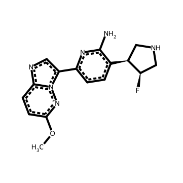 COc1ccc2ncc(-c3ccc([C@H]4CNC[C@H]4F)c(N)n3)n2n1